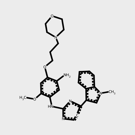 COc1cc(OCCCN2CCOCC2)c(N)cc1Nc1nccc(-c2cn(C)c3ccccc23)n1